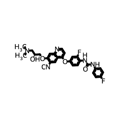 [C-]#[N+]c1cc2c(Oc3ccc(NC(=O)Nc4ccc(F)cc4)c(F)c3)ccnc2cc1OC[C@H](O)CN(C)C